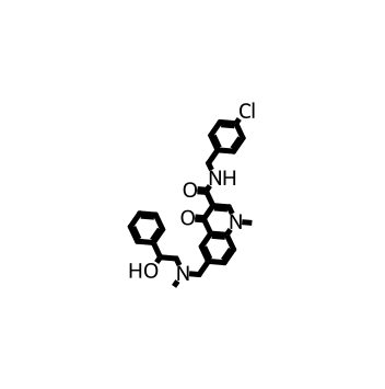 CN(Cc1ccc2c(c1)c(=O)c(C(=O)NCc1ccc(Cl)cc1)cn2C)CC(O)c1ccccc1